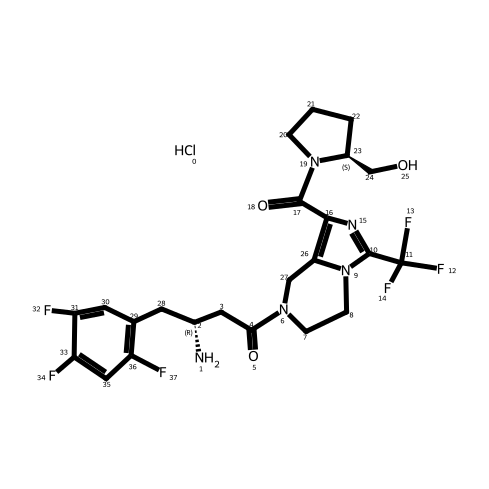 Cl.N[C@@H](CC(=O)N1CCn2c(C(F)(F)F)nc(C(=O)N3CCC[C@H]3CO)c2C1)Cc1cc(F)c(F)cc1F